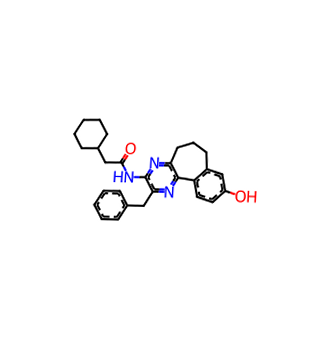 O=C(CC1CCCCC1)Nc1nc2c(nc1Cc1ccccc1)-c1ccc(O)cc1CCC2